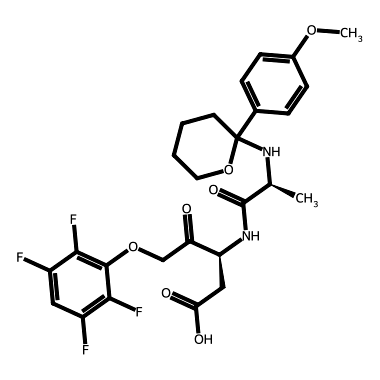 COc1ccc(C2(N[C@@H](C)C(=O)N[C@@H](CC(=O)O)C(=O)COc3c(F)c(F)cc(F)c3F)CCCCO2)cc1